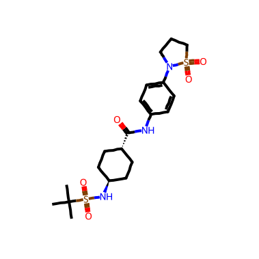 CC(C)(C)S(=O)(=O)N[C@H]1CC[C@H](C(=O)Nc2ccc(N3CCCS3(=O)=O)cc2)CC1